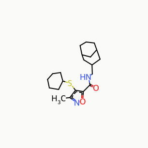 Cc1noc(C(=O)NCC2CC3CCCC(C3)C2)c1SC1CCCCC1